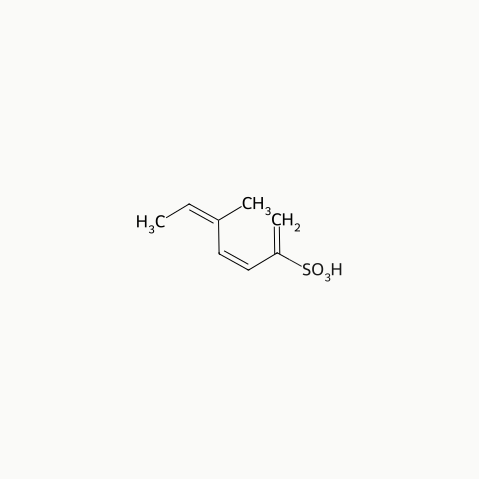 C=C(/C=C\C(C)=C/C)S(=O)(=O)O